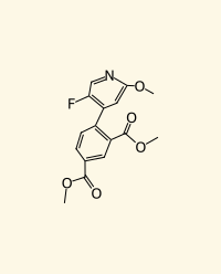 COC(=O)c1ccc(-c2cc(OC)ncc2F)c(C(=O)OC)c1